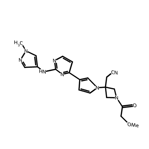 COCC(=O)N1CC(CC#N)(n2ccc(-c3ccnc(Nc4cnn(C)c4)n3)c2)C1